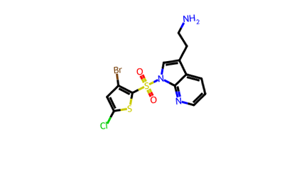 NCCc1cn(S(=O)(=O)c2sc(Cl)cc2Br)c2ncccc12